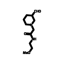 COCCNC(=O)CN1CCCC(C=O)C1